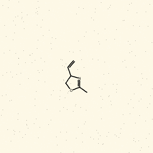 C=CC1COC(C)=N1